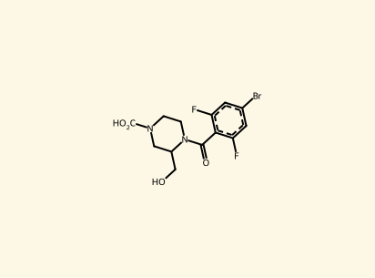 O=C(O)N1CCN(C(=O)c2c(F)cc(Br)cc2F)C(CO)C1